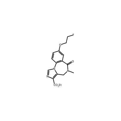 CCOC(=O)c1ncn2c1CN(C)C(=O)c1cc(OCCF)ccc1-2